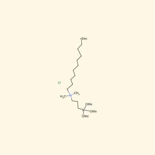 CCCCCCCCCCCCCCCCCCCC[N+](C)(C)CCC[Si](OC)(OC)OC.[Cl-]